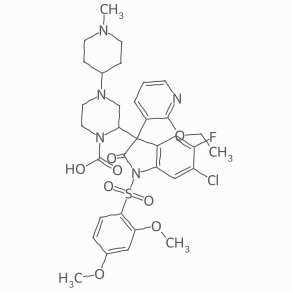 CCOc1ncccc1C1(C2CN(C3CCN(C)CC3)CCN2C(=O)O)C(=O)N(S(=O)(=O)c2ccc(OC)cc2OC)c2cc(Cl)c(F)cc21